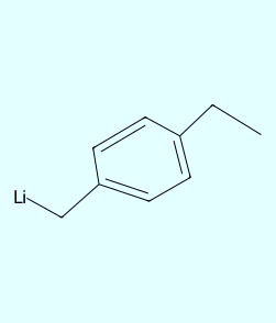 [Li][CH2]c1ccc(CC)cc1